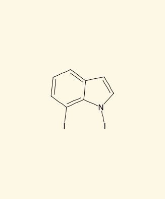 Ic1cccc2ccn(I)c12